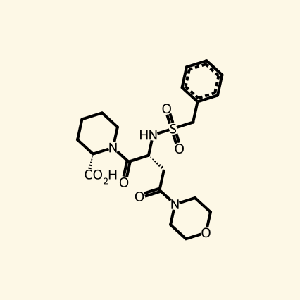 O=C(O)[C@@H]1CCCCN1C(=O)[C@@H](CC(=O)N1CCOCC1)NS(=O)(=O)Cc1ccccc1